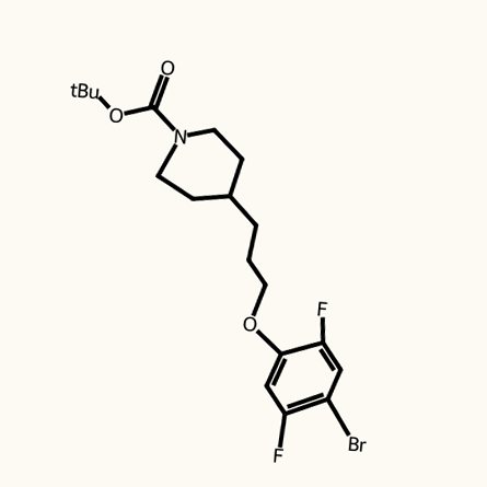 CC(C)(C)OC(=O)N1CCC(CCCOc2cc(F)c(Br)cc2F)CC1